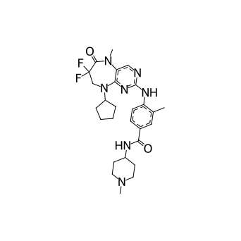 Cc1cc(C(=O)NC2CCN(C)CC2)ccc1Nc1ncc2c(n1)N(C1CCCC1)CC(F)(F)C(=O)N2C